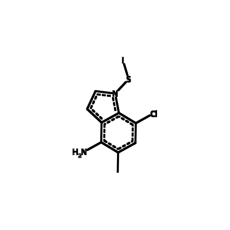 Cc1cc(Cl)c2c(ccn2SI)c1N